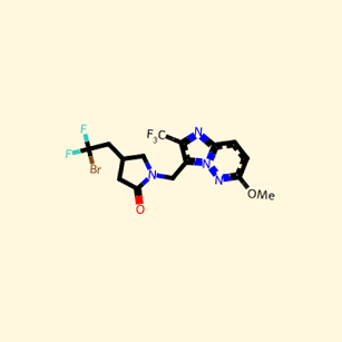 COc1ccc2nc(C(F)(F)F)c(CN3CC(CC(F)(F)Br)CC3=O)n2n1